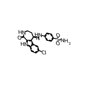 NS(=O)(=O)c1ccc(NN=C2CCNC(=O)c3[nH]c4ccc(Cl)cc4c32)cc1